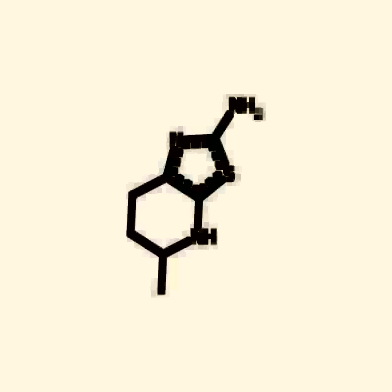 CC1CCc2nc(N)sc2N1